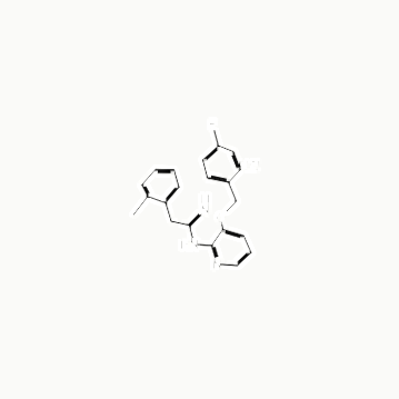 Cc1ccccc1CC(=N)Nc1ncccc1OCc1ccc(F)cc1.Cl